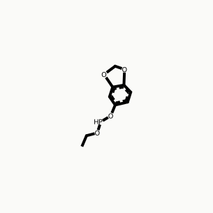 CCOPOc1ccc2c(c1)OCO2